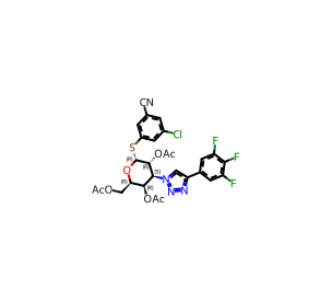 CC(=O)OC[C@H]1O[C@H](Sc2cc(Cl)cc(C#N)c2)[C@H](OC(C)=O)[C@@H](n2cc(-c3cc(F)c(F)c(F)c3)nn2)[C@H]1OC(C)=O